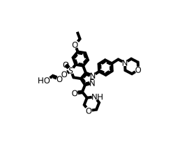 CCOc1ccc2c(c1)S(=O)(=O)Cc1c(C(=O)C3COCCN3)nn(-c3ccc(CN4CCOCC4)cc3)c1-2.O=CO